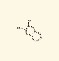 Oc1cc2ccccc2c[c]1[Na]